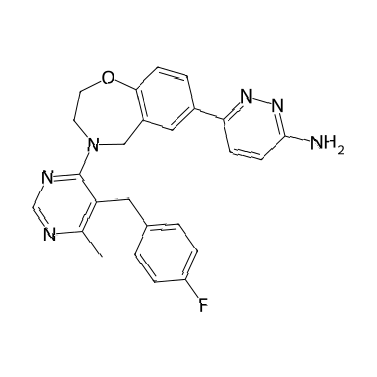 Cc1ncnc(N2CCOc3ccc(-c4ccc(N)nn4)cc3C2)c1Cc1ccc(F)cc1